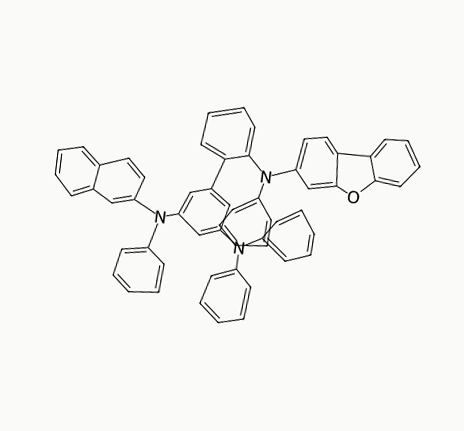 c1ccc(N(c2ccccc2)c2cc(-c3ccccc3N(c3ccccc3)c3ccc4c(c3)oc3ccccc34)cc(N(c3ccccc3)c3ccc4ccccc4c3)c2)cc1